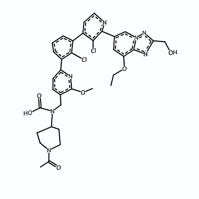 CCOc1cc(-c2nccc(-c3cccc(-c4ccc(CN(C(=O)O)C5CCN(C(C)=O)CC5)c(OC)n4)c3Cl)c2Cl)cn2nc(CO)nc12